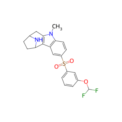 Cn1c2c(c3cc(S(=O)(=O)c4cccc(OC(F)F)c4)ccc31)C1CCC(C2)N1